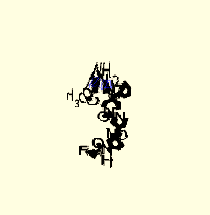 CC(=O)OCC(/N=N\C[C@@H](c1ccccc1)C1CCN(C(=O)c2cc(-c3nc4cc(NC(=O)[C@@H]5C[C@@H]5F)ccc4o3)ccn2)CC1)=N/N